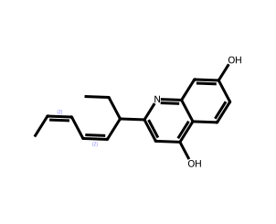 C/C=C\C=C/C(CC)c1cc(O)c2ccc(O)cc2n1